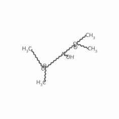 CCCCCCCCCCCCCC1OC(CCCCCCCC)C(CCCCCCCCCCCCN(CCO)CCCCCCCC(=O)OC(CCCCCCCC)CCCCCCCC)O1